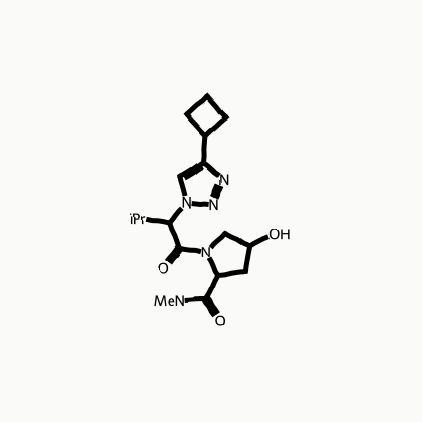 CNC(=O)C1CC(O)CN1C(=O)C(C(C)C)n1cc(C2CCC2)nn1